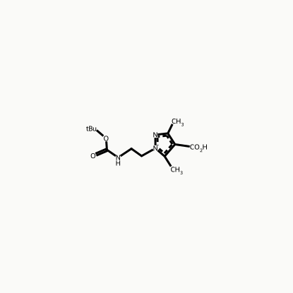 Cc1nn(CCNC(=O)OC(C)(C)C)c(C)c1C(=O)O